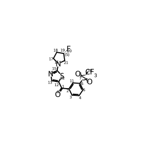 O=C(c1cccc(S(=O)(=O)C(F)(F)F)c1)c1cnc(N2CC[C@H](F)C2)s1